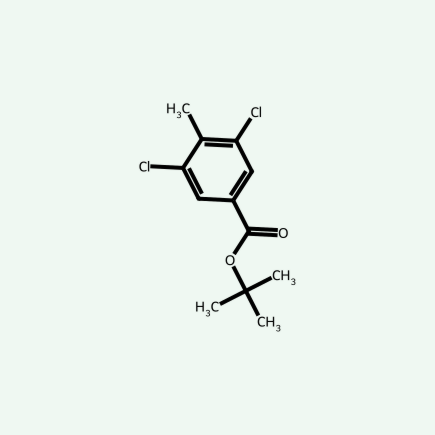 Cc1c(Cl)cc(C(=O)OC(C)(C)C)cc1Cl